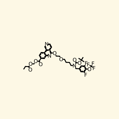 CCC(=O)OCOC(=O)c1ccc2c(c1)nc(OCCOCCCCN(Cc1cc(F)c(OC(F)(F)F)c(F)c1)C(=O)OC(C)(C)C)c1ccncc12